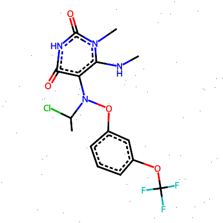 CNc1c(N(Oc2cccc(OC(F)(F)F)c2)C(C)Cl)c(=O)[nH]c(=O)n1C